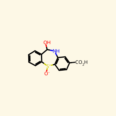 O=C(O)c1ccc2c(c1)NC(O)c1ccccc1[S+]2[O-]